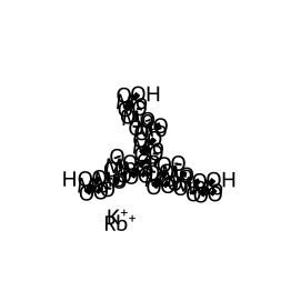 O=P([O][Mo](=[O])(=[O])[O][Mo](=[O])(=[O])[O][Mo](=[O])(=[O])[O][Mo](=[O])(=[O])[OH])([O][Mo](=[O])(=[O])[O][Mo](=[O])(=[O])[O][Mo](=[O])(=[O])[O][Mo](=[O])(=[O])[OH])[O][Mo](=[O])(=[O])[O][Mo](=[O])(=[O])[O][Mo](=[O])(=[O])[O][Mo](=[O])(=[O])[OH].[K+].[Rb+]